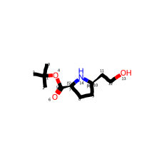 CC(C)(C)OC(=O)[C@@H]1CC[C@H](CCO)N1